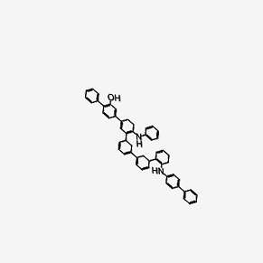 Oc1cc(C2=CC(C3C=CC=C(C4=CC=CC(C5=C(Nc6ccc(-c7ccccc7)cc6)CCC=C5)C4)C3)=C(Nc3ccccc3)CC2)ccc1-c1ccccc1